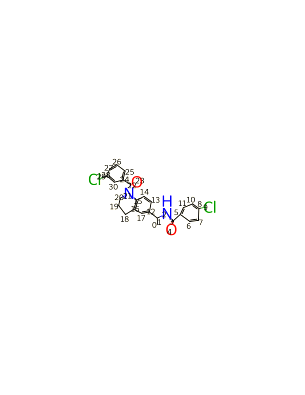 CC(NC(=O)c1ccc(Cl)cc1)c1ccc2c(c1)CCCN2C(=O)c1cccc(Cl)c1